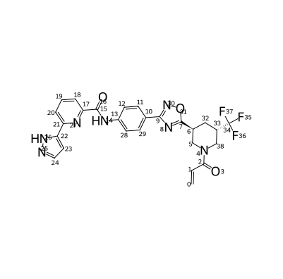 C=CC(=O)N1C[C@@H](c2nc(-c3ccc(NC(=O)c4cccc(-c5ccn[nH]5)n4)cc3)no2)C[C@H](C(F)(F)F)C1